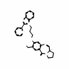 O=C1c2cc(CO)c(OCCCn3c(-c4ccccn4)nc4ccccc43)cc2N=C[C@@H]2CCCN12